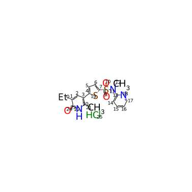 CCc1cc(-c2ccc(S(=O)(=O)N(C)c3ccccn3)s2)c(C)[nH]c1=O.Cl